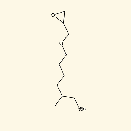 CC(CCCCOCC1CO1)CC(C)(C)C